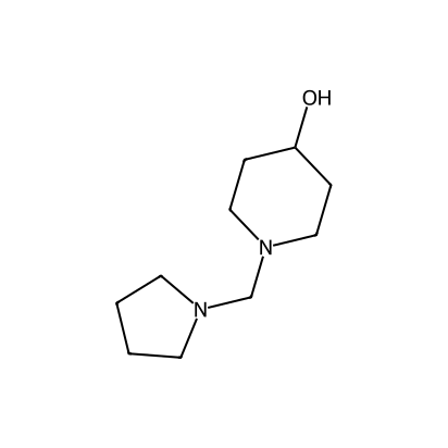 OC1CCN(CN2CCCC2)CC1